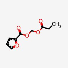 CCC(=O)OCOC(=O)c1ccco1